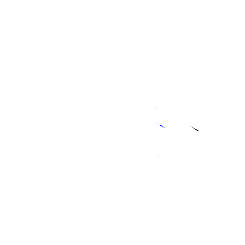 COCCC(=O)OCOc1c2n(ncc1=O)[C@@H]([C@H](c1ccccc1)c1cccc(F)c1F)[C@H]1CCCN1C2=O